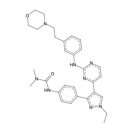 CCn1cc(-c2ccnc(Nc3cccc(CCN4CCOCC4)c3)n2)c(-c2ccc(NC(=O)N(C)C)cc2)n1